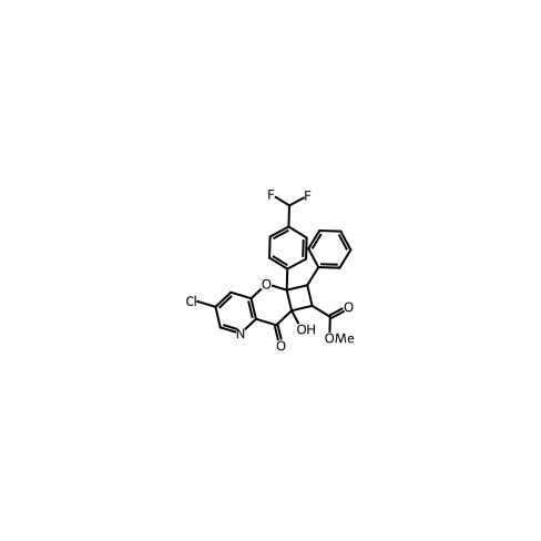 COC(=O)C1C(c2ccccc2)C2(c3ccc(C(F)F)cc3)Oc3cc(Cl)cnc3C(=O)C12O